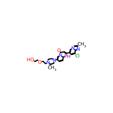 Cc1cn2cc(C3=CC(=O)N4C=C(N5CCN(CCOCCO)[C@@H](C)C5)C=CC4P3)cc(Cl)c2n1